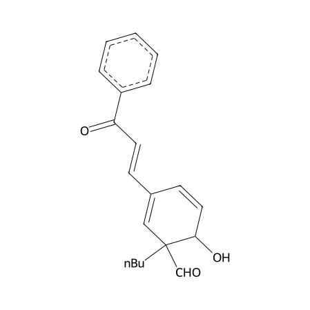 CCCCC1(C=O)C=C(/C=C/C(=O)c2ccccc2)C=CC1O